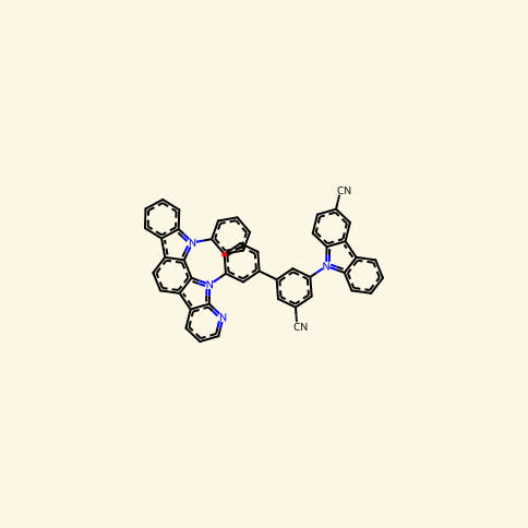 N#Cc1cc(-c2cccc(-n3c4ncccc4c4ccc5c6ccccc6n(-c6ccccc6)c5c43)c2)cc(-n2c3ccccc3c3cc(C#N)ccc32)c1